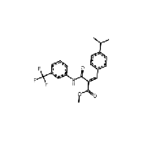 COC(=O)/C(=C/c1ccc(C(C)C)cc1)C(=O)Nc1cccc(C(F)(F)F)c1